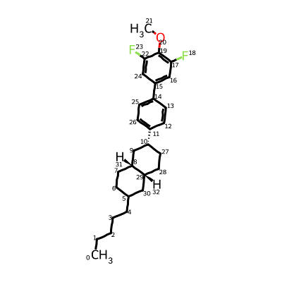 CCCCCC1CC[C@@H]2C[C@H](c3ccc(-c4cc(F)c(OC)c(F)c4)cc3)CC[C@@H]2C1